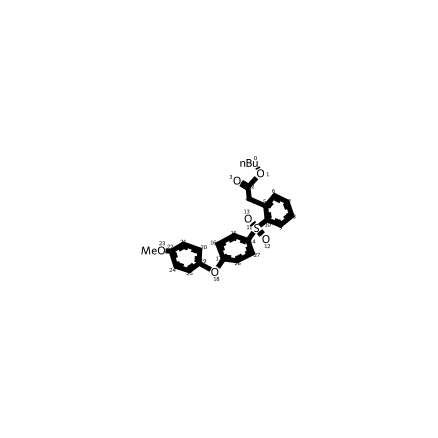 CCCCOC(=O)Cc1ccccc1S(=O)(=O)c1ccc(Oc2ccc(OC)cc2)cc1